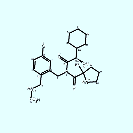 CCC1(C(=O)N(Cc2cc(Cl)ccc2CNC(=O)O)C(=O)[C@H](O)C2CCCCC2)CCCN1